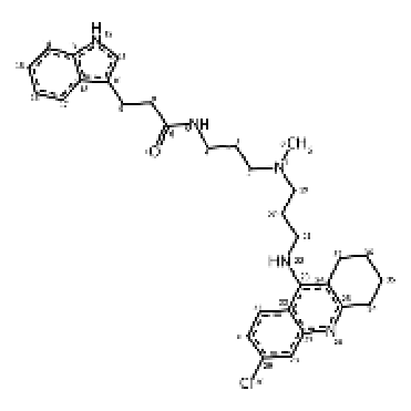 CN(CCCNC(=O)CCc1c[nH]c2ccccc12)CCCNc1c2c(nc3cc(Cl)ccc13)CCCC2